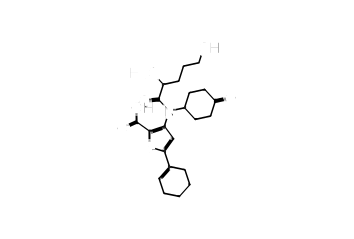 CCCCC(C)C(=O)N(c1cc(C2=CCCCC2)sc1C(=O)O)C1CCC(=O)CC1